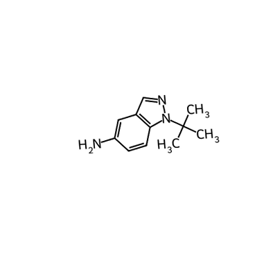 CC(C)(C)n1ncc2cc(N)ccc21